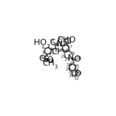 CS(=O)(=O)c1cccc(C[C@@H](C(=O)O)N(C=O)c2c(Cl)cc3c(c2Cl)CCN(C(=O)c2ccc4ccoc4c2)C3)c1